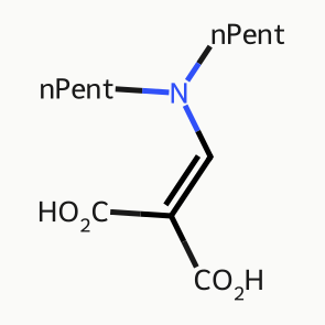 CCCCCN(C=C(C(=O)O)C(=O)O)CCCCC